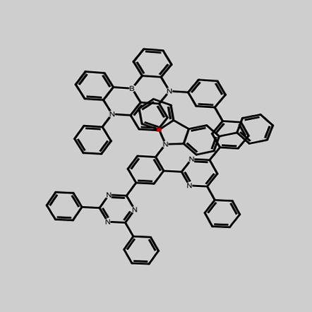 c1ccc(-c2ccc3c(c2)c2ccccc2n3-c2ccc(-c3nc(-c4ccccc4)nc(-c4ccccc4)n3)cc2-c2nc(-c3ccccc3)cc(-c3cccc(-c4cccc(N5c6ccccc6B6c7ccccc7N(c7ccccc7)c7cccc5c76)c4)c3)n2)cc1